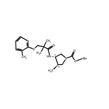 Cc1cccnc1OCC(C)(C)C(=O)N[C@@H]1CN(C(=O)OC(C)(C)C)C[C@H]1C